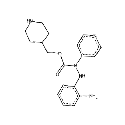 Nc1ccccc1NN(C(=O)OCC1CCNCC1)c1ccncc1